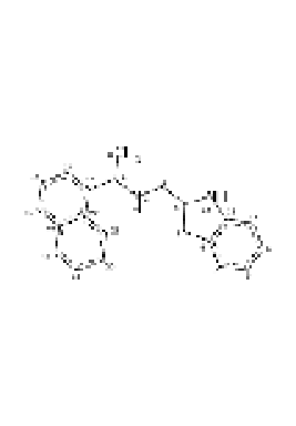 CC(NCC1Cc2ccccc2N1)c1cccc2ccccc12